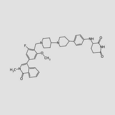 COc1cc(-c2cn(C)c(=O)c3ccccc23)cc(F)c1CN1CCC(N2CCC(c3ccc(NC4CCC(=O)NC4=O)cc3)CC2)CC1